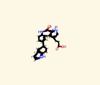 O=C(O)CCc1c[nH]c2c(=O)[nH]c3ccc(-c4ccc5[nH]ccc5c4)cc3c12